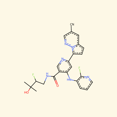 CC(C)(O)C(F)CNC(=O)c1cnc(-c2ccc3cc(C#N)cnn23)cc1Nc1cccnc1F